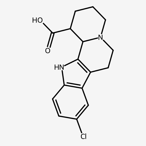 O=C(O)C1CCCN2CCc3c([nH]c4ccc(Cl)cc34)C12